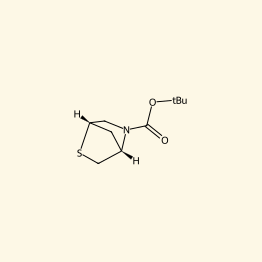 CC(C)(C)OC(=O)N1C[C@@H]2C[C@H]1CS2